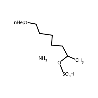 CCCCCCCCCCCCC(C)OS(=O)(=O)O.N